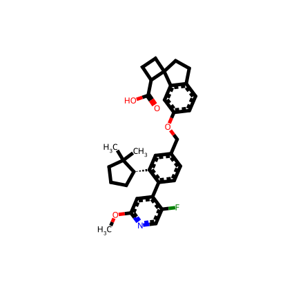 COc1cc(-c2ccc(COc3ccc4c(c3)C3(CC4)CCC3C(=O)O)cc2[C@@H]2CCCC2(C)C)c(F)cn1